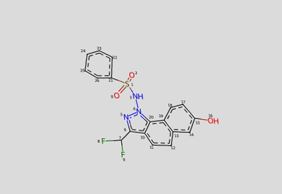 O=S(=O)(Nn1nc(C(F)F)c2ccc3cc(O)ccc3c21)c1ccccc1